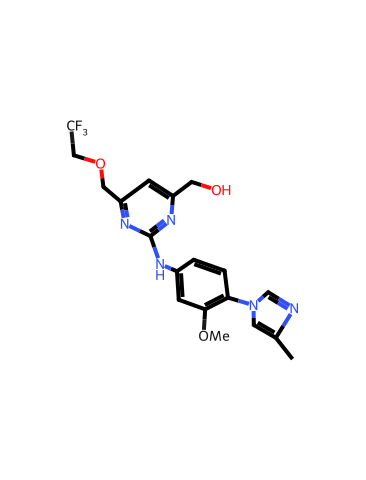 COc1cc(Nc2nc(CO)cc(COCC(F)(F)F)n2)ccc1-n1cnc(C)c1